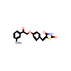 COc1cccc(C(=O)COc2ccc(/C=C3/SC(=O)NC3=O)cc2)c1